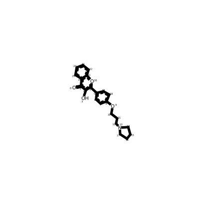 O=c1c(O)c(-c2ccc(OCCCN3CCCC3)cc2)oc2ccccc12